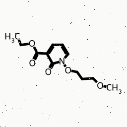 CCOC(=O)c1cccn(OCCCOC)c1=O